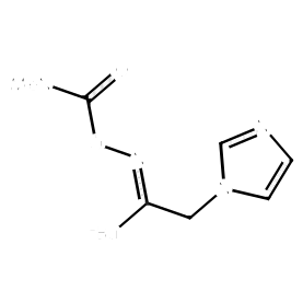 CNC(=O)ON=C(Cn1ccnc1)C(C)(C)C